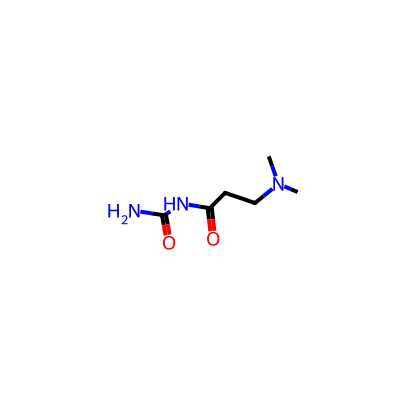 CN(C)CCC(=O)NC(N)=O